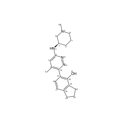 Cc1cc(N[C@@H]2CCCN(C)C2)nnc1-c1ccc2c(c1O)CCC2